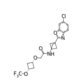 O=C(CO[C@H]1C[C@@H](OC(F)(F)F)C1)NC12CC(c3nc4ccc(Cl)cc4o3)(C1)C2